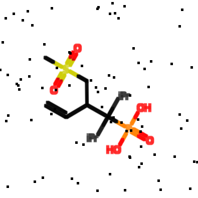 C=CC(CS(C)(=O)=O)C(C(C)C)(C(C)C)P(=O)(O)O